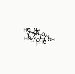 OC[C@H]1O[C@@H](n2cnc3c2N=CNCC3O)C(O)[C@H]1O